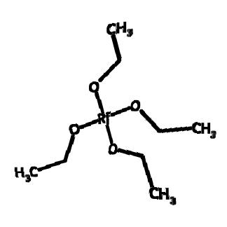 CC[O][Rf]([O]CC)([O]CC)[O]CC